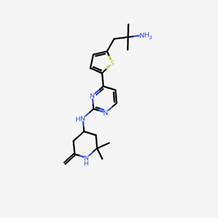 C=C1CC(Nc2nccc(-c3ccc(CC(C)(C)N)s3)n2)CC(C)(C)N1